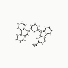 Nc1ccc2c3ccccc3n(C3=CC=CC(c4cc5c(c6c4C=CCC6)CCC=C5)C3)c2c1